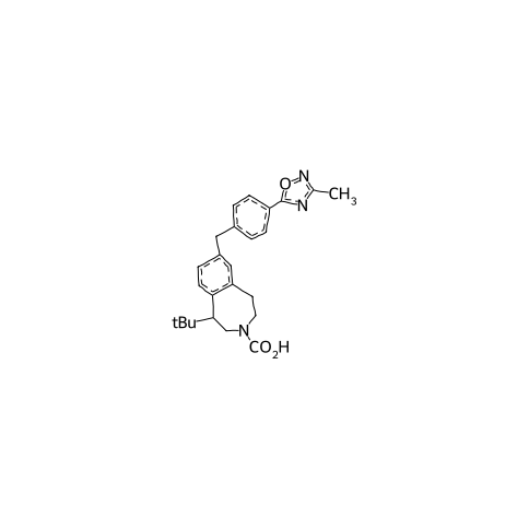 Cc1noc(-c2ccc(Cc3ccc4c(c3)CCN(C(=O)O)CC4C(C)(C)C)cc2)n1